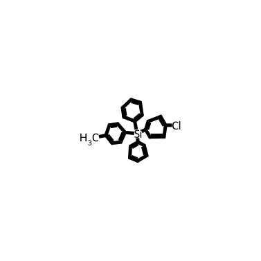 Cc1ccc([Si](c2ccccc2)(c2ccccc2)c2ccc(Cl)cc2)cc1